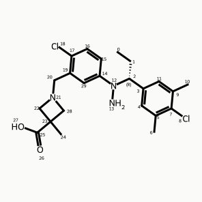 CC[C@H](c1cc(C)c(Cl)c(C)c1)N(N)c1ccc(Cl)c(CN2CC(C)(C(=O)O)C2)c1